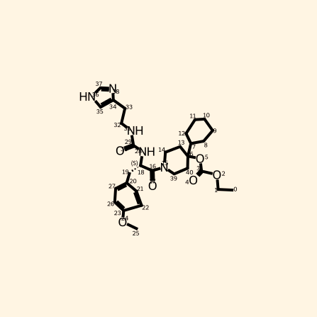 CCOC(=O)OC1(C2CCCCC2)CCN(C(=O)[C@H](Cc2ccc(OC)cc2)NC(=O)NCCc2c[nH]cn2)CC1